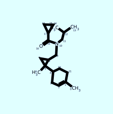 CC1=CCC(C2(C)CC2CN(CC(C)C)C(=O)C2CC2)CC1